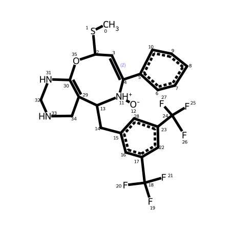 CSC1/C=C(/c2ccccc2)[NH+]([O-])C(Cc2cc(C(F)(F)F)cc(C(F)(F)F)c2)C2=C(NCNC2)O1